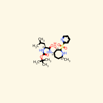 CC(C)C[C@H](NC(=O)OC(C)(C)C)C(=O)N[C@H]1CC[C@@H](C)NC(S(=O)(=O)c2ccccn2)[C@H]1O